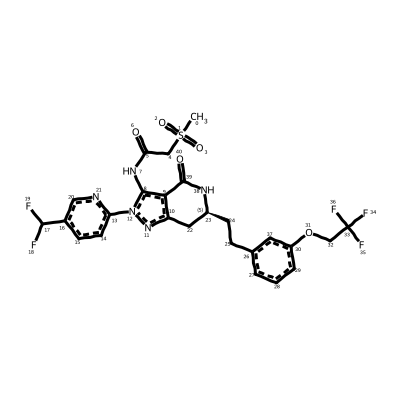 CS(=O)(=O)CC(=O)Nc1c2c(nn1-c1ccc(C(F)F)cn1)C[C@H](CCc1cccc(OCC(F)(F)F)c1)NC2=O